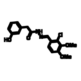 COc1ccc(/C=N/NC(=O)Cc2cccc(O)c2)c(Cl)c1OC